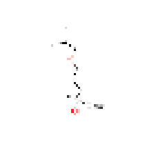 C=C(C)COCCC[Si](C)(O)OC